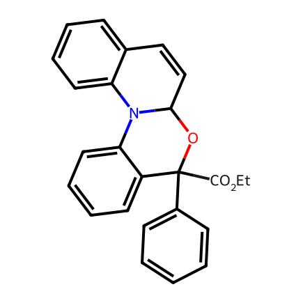 CCOC(=O)C1(c2ccccc2)OC2C=Cc3ccccc3N2c2ccccc21